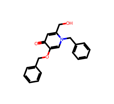 O=c1cc(CO)n(Cc2ccccc2)cc1OCc1ccccc1